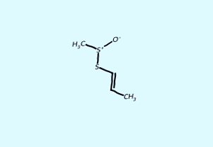 C/C=C/S[S+](C)[O-]